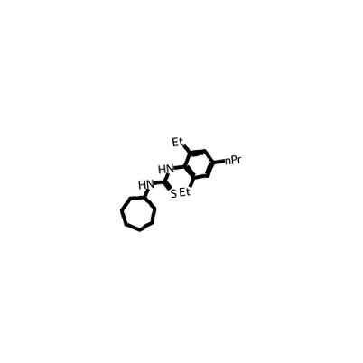 CCCc1cc(CC)c(NC(=S)NC2CCCCCC2)c(CC)c1